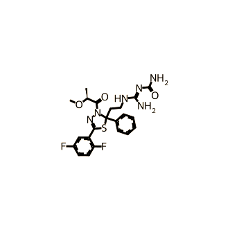 CO[C@@H](C)C(=O)N1N=C(c2cc(F)ccc2F)SC1(CCN/C(N)=N/C(N)=O)c1ccccc1